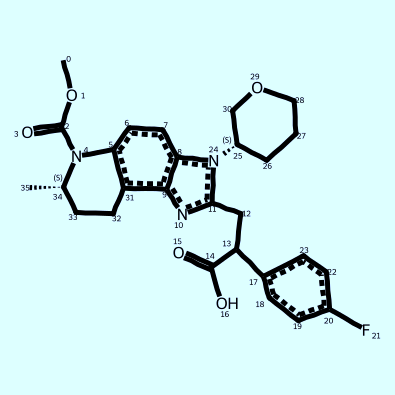 COC(=O)N1c2ccc3c(nc(CC(C(=O)O)c4ccc(F)cc4)n3[C@H]3CCCOC3)c2CC[C@@H]1C